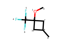 COC1(C(F)(F)F)CC(C)C1